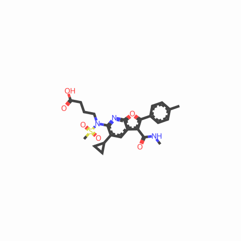 CNC(=O)c1c(-c2ccc(C)cc2)oc2nc(N(CCCC(=O)O)S(C)(=O)=O)c(C3CC3)cc12